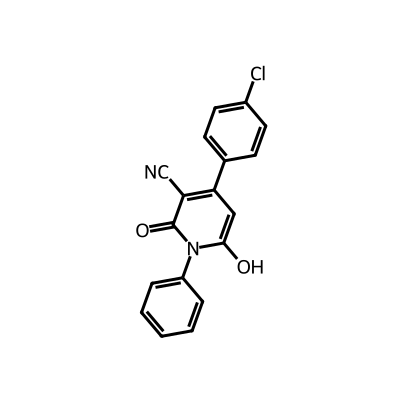 N#Cc1c(-c2ccc(Cl)cc2)cc(O)n(-c2ccccc2)c1=O